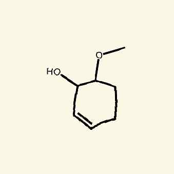 COC1CCC=CC1O